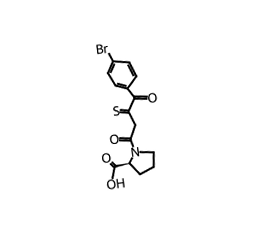 O=C(C(=S)CC(=O)N1CCC[C@H]1C(=O)O)c1ccc(Br)cc1